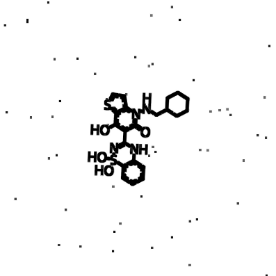 O=c1c(C2=NS(O)(O)c3ccccc3N2)c(O)c2sccc2n1NCC1CCCCC1